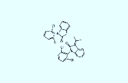 CC(C)=C1C(=O)N(c2c(Cl)cccc2Cl)c2ccccc21.O=C1Cc2ccccc2N1c1c(Cl)cccc1Cl